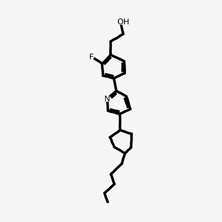 CCCCCC1CCC(c2ccc(-c3ccc(CCO)c(F)c3)nc2)CC1